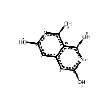 Oc1cc2cc(O)nc(O)c2c(O)n1